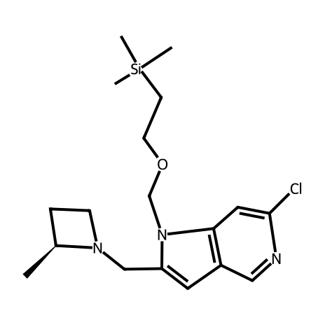 C[C@H]1CCN1Cc1cc2cnc(Cl)cc2n1COCC[Si](C)(C)C